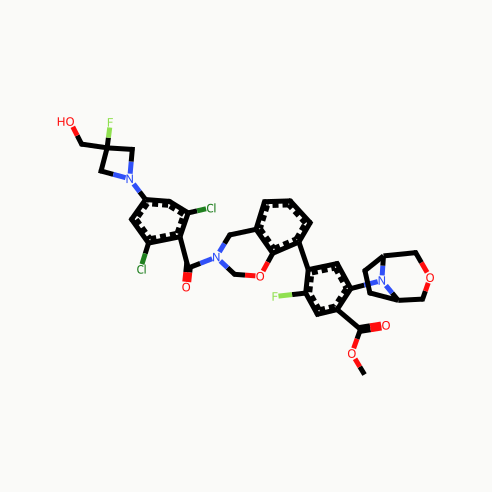 COC(=O)c1cc(F)c(-c2cccc3c2OCN(C(=O)c2c(Cl)cc(N4CC(F)(CO)C4)cc2Cl)C3)cc1N1C2CCC1COC2